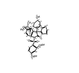 COc1ccc(S(=O)(=O)N2C(=O)C(c3cccnc3OC)(N3CC[C@@H](O)C[C@H]3C(=O)N(C)C)c3cc(Cl)ccc32)c(OC)c1